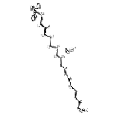 CC(=O)CCCCCCCCCCCCCCCCCCS(=O)(=O)[O-].[Na+]